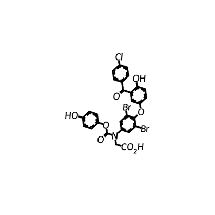 O=C(O)CN(C(=O)Oc1ccc(O)cc1)c1cc(Br)c(Oc2ccc(O)c(C(=O)c3ccc(Cl)cc3)c2)c(Br)c1